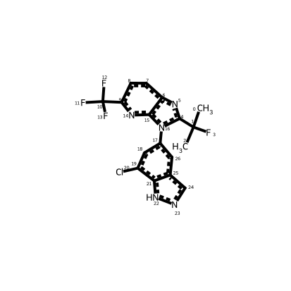 CC(C)(F)c1nc2ccc(C(F)(F)F)nc2n1-c1cc(Cl)c2[nH]ncc2c1